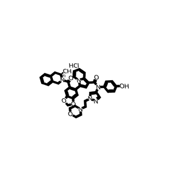 C[C@@H]1Cc2ccccc2CN1C(=O)c1cc2c(cc1-c1cc(C(=O)N(c3ccc(O)cc3)c3cnn(CCN4CCOCC4)c3)c3ccccn13)OCO2.Cl